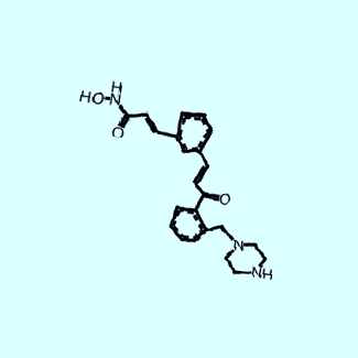 O=C(C=Cc1cccc(C=CC(=O)c2ccccc2CN2CCNCC2)c1)NO